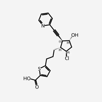 O=C(O)c1ccc(CCC[C@@H]2[C@@H](C#Cc3ccccn3)[C@H](O)C[C@H]2Cl)s1